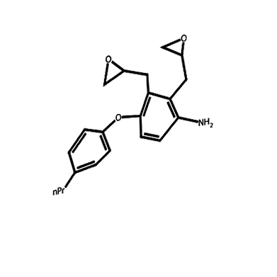 CCCc1ccc(Oc2ccc(N)c(CC3CO3)c2CC2CO2)cc1